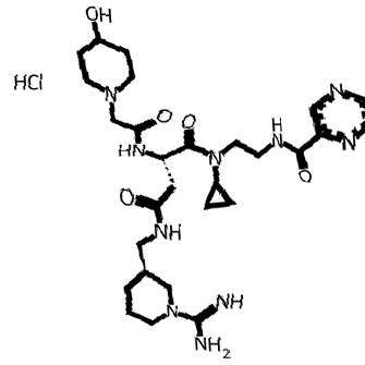 Cl.N=C(N)N1CCC[C@@H](CNC(=O)C[C@H](NC(=O)CN2CCC(O)CC2)C(=O)N(CCNC(=O)c2cnccn2)C2CC2)C1